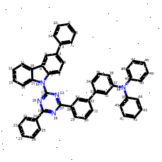 c1ccc(-c2ccc3c(c2)c2ccccc2n3-c2nc(-c3ccccc3)nc(-c3cccc(-c4cccc(N(c5ccccc5)c5ccccc5)c4)c3)n2)cc1